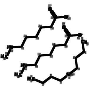 CCC[CH2][Sn+2][CH2]CCC.CNCCCCCC(=O)[O-].CNCCCCCC(=O)[O-]